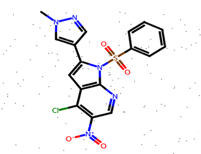 Cn1cc(-c2cc3c(Cl)c([N+](=O)[O-])cnc3n2S(=O)(=O)c2ccccc2)cn1